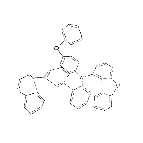 c1cc(-c2ccccc2N(c2ccc3oc4ccccc4c3c2)c2cccc3oc4ccccc4c23)cc(-c2cccc3ccccc23)c1